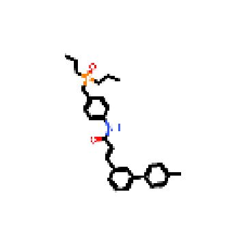 CCCP(=O)(CCC)Cc1ccc(NC(=O)C=Cc2cccc(-c3ccc(C)cc3)c2)cc1